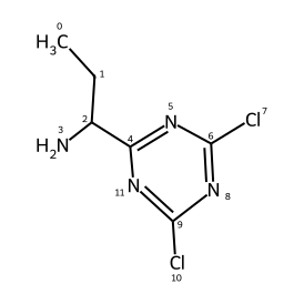 CCC(N)c1nc(Cl)nc(Cl)n1